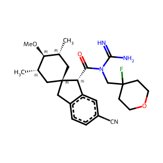 CO[C@H]1[C@H](C)C[C@@]2(Cc3ccc(C#N)cc3[C@H]2C(=O)N(CC2(F)CCOCC2)C(=N)N)C[C@@H]1C